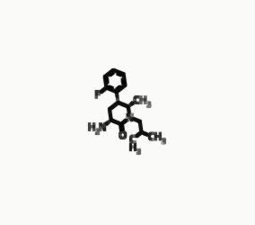 CC(C)CN1C(=O)[C@@H](N)C[C@@H](c2ccccc2F)[C@H]1C